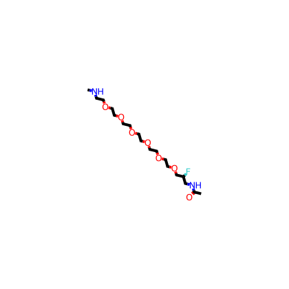 CNCCOCCOCCOCCOCCOCCOCC(F)CNC(C)=O